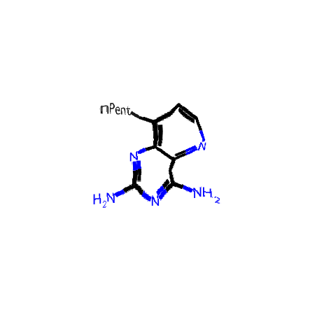 CCCCCc1ccnc2c(N)nc(N)nc12